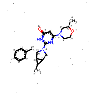 CC1C2CN(c3nc(N4CCO[C@H](C)C4)cc(=O)[nH]3)[C@@H](Cc3ccccc3)C12